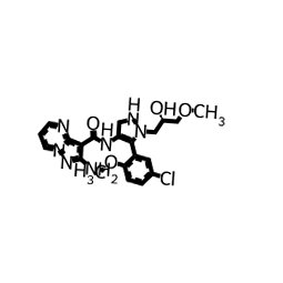 COC[C@@H](O)CN1NCC(NC(=O)c2c(N)nn3cccnc23)=C1c1cc(Cl)ccc1OC